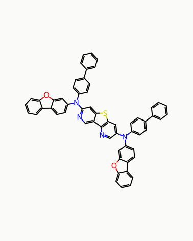 c1ccc(-c2ccc(N(c3ccc4c(c3)oc3ccccc34)c3cnc4c(c3)sc3cc(N(c5ccc(-c6ccccc6)cc5)c5ccc6c(c5)oc5ccccc56)ncc34)cc2)cc1